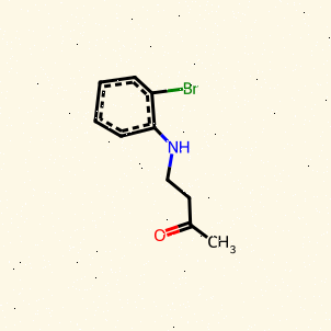 CC(=O)CCNc1ccccc1Br